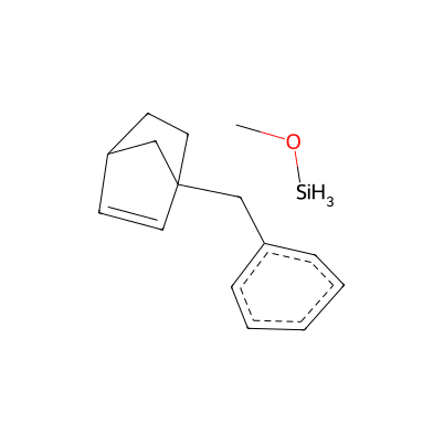 C1=CC2(Cc3ccccc3)CCC1C2.CO[SiH3]